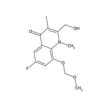 COCOc1cc(F)cc2c(=O)c(I)c(CO)n(C)c12